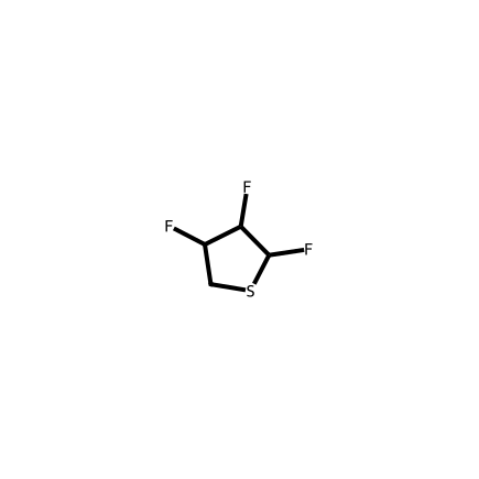 FC1CSC(F)C1F